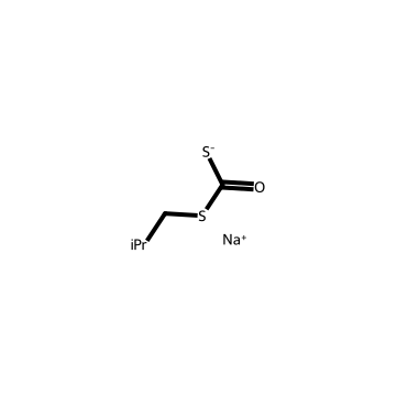 CC(C)CSC(=O)[S-].[Na+]